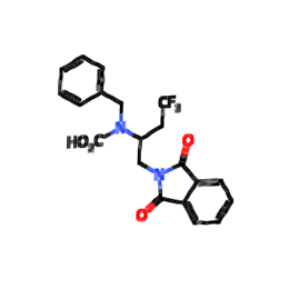 O=C1c2ccccc2C(=O)N1CC(CC(F)(F)F)N(Cc1ccccc1)C(=O)O